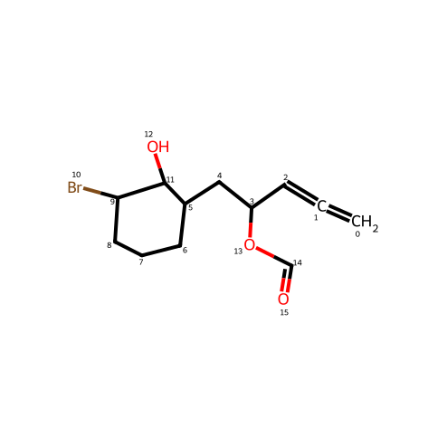 C=C=CC(CC1CCCC(Br)C1O)OC=O